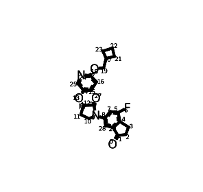 O=C1CCc2c(F)cc(N3CC[C@@H](Oc4ccc(OCC5CCC5)nc4)C3=O)cc21